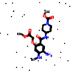 CCNc1cc(OCC(=O)OC(C)(C)C)c(C(=O)NC2CCN(C(=O)OC(C)(C)C)CC2)cc1N